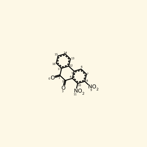 O=C1C(=O)c2c(ccc([N+](=O)[O-])c2[N+](=O)[O-])-c2ccccc21